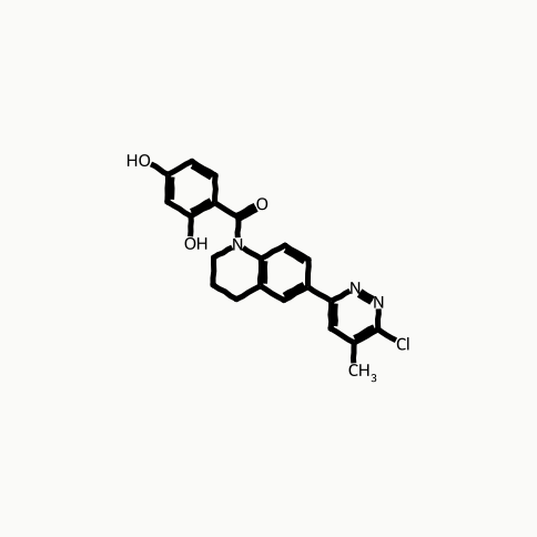 Cc1cc(-c2ccc3c(c2)CCCN3C(=O)c2ccc(O)cc2O)nnc1Cl